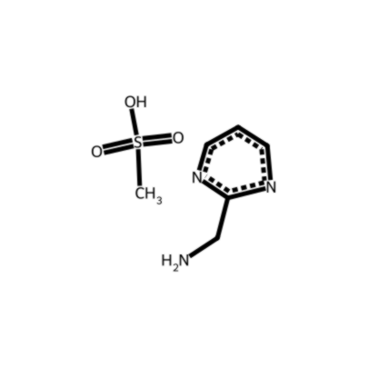 CS(=O)(=O)O.NCc1ncccn1